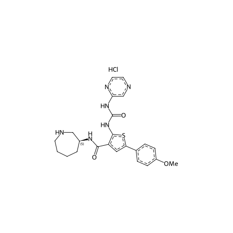 COc1ccc(-c2cc(C(=O)N[C@H]3CCCCNC3)c(NC(=O)Nc3cnccn3)s2)cc1.Cl